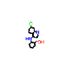 OCc1ccccc1Nc1ccnc2cc(Cl)ccc12